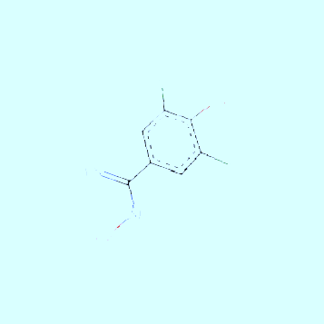 N=C(NO)c1cc(Cl)c(O)c(Cl)c1